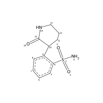 NS(=O)(=O)c1ccccc1C1CCCNC1=O